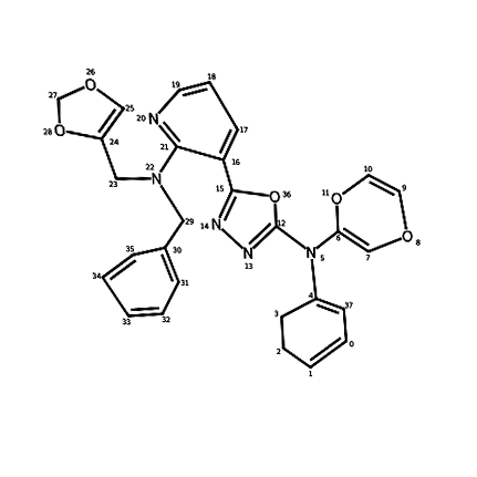 C1=CCCC(N(C2=COC=CO2)c2nnc(-c3cccnc3N(CC3=COCO3)Cc3ccccc3)o2)=C1